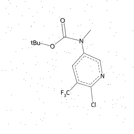 CN(C(=O)OC(C)(C)C)c1cnc(Cl)c(C(F)(F)F)c1